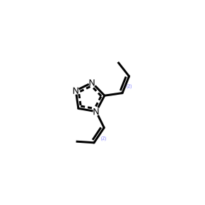 C/C=C\c1nncn1/C=C\C